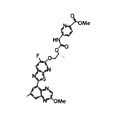 COC(=O)c1ccc(NC(=O)O[C@H](C)COc2nc3sc(-c4cc(C)cc5nc(OC)cnc45)nc3cc2F)cn1